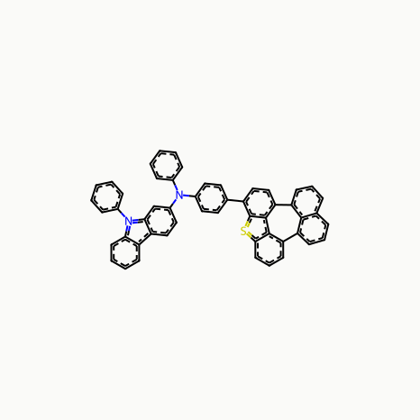 c1ccc(N(c2ccc(-c3ccc4c5c3sc3cccc(c35)-c3cccc5cccc-4c35)cc2)c2ccc3c4ccccc4n(-c4ccccc4)c3c2)cc1